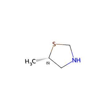 C[C@H]1CNCS1